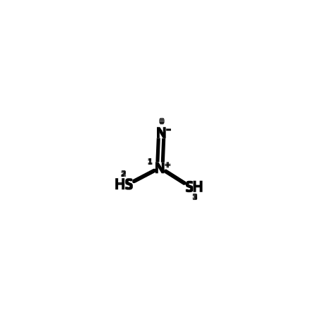 [N-]=[N+](S)S